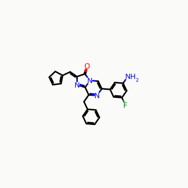 Nc1cc(F)cc(C2=CN3C(=O)/C(=C/C4=CC=CC4)N=C3C(Cc3ccccc3)=N2)c1